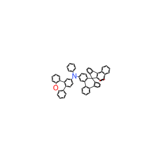 c1ccc(N(c2ccc3c(c2)-c2ccccc2Oc2ccccc2-3)c2ccc3c(c2)-c2ccccc2-c2ccccc2C32c3ccccc3-c3c2c2ccccc2c2ccccc32)cc1